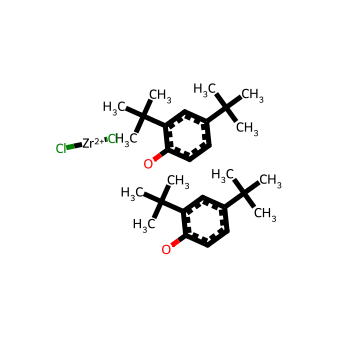 CC(C)(C)c1ccc([O-])c(C(C)(C)C)c1.CC(C)(C)c1ccc([O-])c(C(C)(C)C)c1.[Cl][Zr+2][Cl]